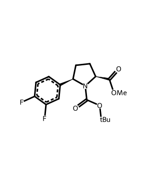 COC(=O)[C@@H]1CC[C@H](c2ccc(F)c(F)c2)N1C(=O)OC(C)(C)C